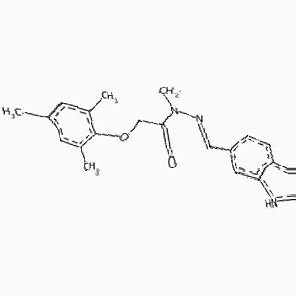 [CH2]N(/N=C/c1ccc2cc[nH]c2c1)C(=O)COc1c(C)cc(C)cc1C